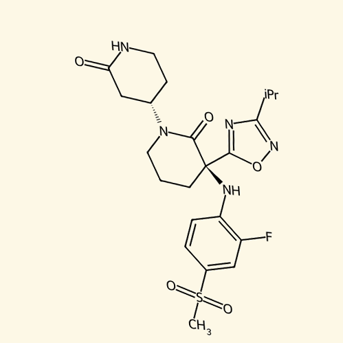 CC(C)c1noc([C@]2(Nc3ccc(S(C)(=O)=O)cc3F)CCCN([C@H]3CCNC(=O)C3)C2=O)n1